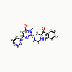 Cn1c(N2CCNC(C(=O)c3ccccc3)C2)nc(-c2ccncn2)cc1=O